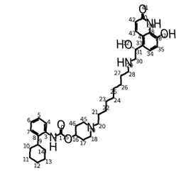 O=C(Nc1ccccc1C1CCCCC1)OC1CCN(CCCCCCCCCNC[C@H](O)c2ccc(O)c3[nH]c(=O)ccc23)CC1